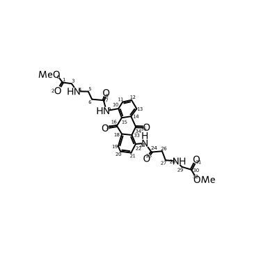 COC(=O)CNCCC(=O)Nc1cccc2c1C(=O)c1cccc(NC(=O)CCNCC(=O)OC)c1C2=O